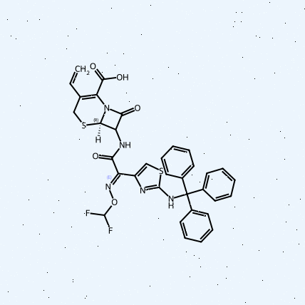 C=CC1=C(C(=O)O)N2C(=O)C(NC(=O)/C(=N/OC(F)F)c3csc(NC(c4ccccc4)(c4ccccc4)c4ccccc4)n3)[C@H]2SC1